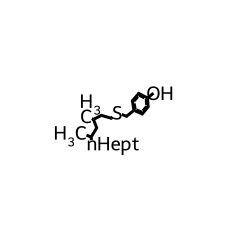 CCCCCCCC(C)CC(C)CCSCc1ccc(O)cc1